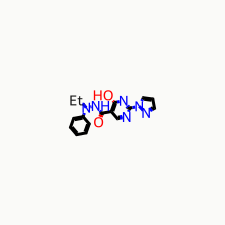 CCN(NC(=O)c1cnc(-n2cccn2)nc1O)c1ccccc1